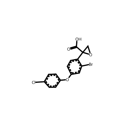 O=C(O)C1(c2ccc(Oc3ccc(Cl)cc3)cc2Br)CO1